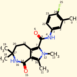 Cc1cc(NC(=O)c2c3c(c(C)n2C)C(=O)NC(C)(C)CC3)ccc1F